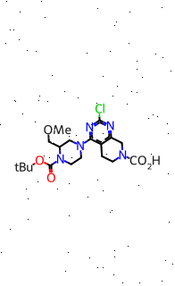 COCC1CN(c2nc(Cl)nc3c2CCN(C(=O)O)C3)CCN1C(=O)OC(C)(C)C